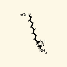 CCCCCCCCCCCCCCCCc1nc(N)n[nH]1